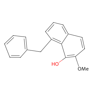 COc1ccc2cccc(Cc3ccccc3)c2c1O